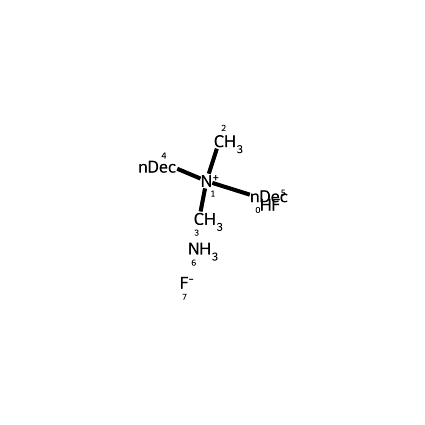 CCCCCCCCCC[N+](C)(C)CCCCCCCCCC.F.N.[F-]